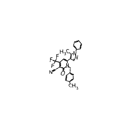 Cc1ccc(Cn2c(-c3cnn(-c4ccccc4)c3C)cc(C(F)(F)F)c(C#N)c2=O)cc1